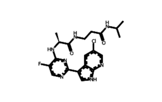 CC(C)NC(=O)CCNC(=O)[C@H](C)Nc1nc(-c2c[nH]c3ncc(Cl)cc23)ncc1F